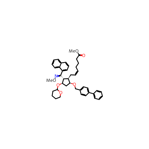 CON=C(c1cccc2ccccc12)[C@@H]1[C@@H](C/C=C\CCCC(=O)OC)[C@@H](OCc2ccc(-c3ccccc3)cc2)C[C@H]1OC1CCCCO1